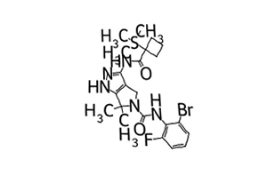 CC1(C)c2[nH]nc(NC(=O)C3(S(C)(C)C)CCC3)c2CN1C(=O)Nc1c(F)cccc1Br